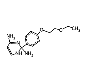 CCOCCOc1ccc(C2(N)N=C(N)C=CN2)cc1